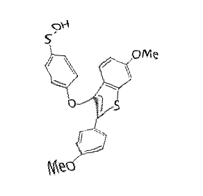 COc1ccc(-c2sc3cc(OC)ccc3c2Oc2ccc(SO)cc2)cc1